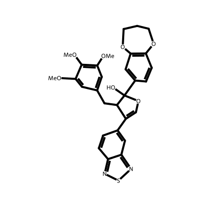 COc1cc(CC2C(c3ccc4nsnc4c3)=COC2(O)c2ccc3c(c2)OCCCO3)cc(OC)c1OC